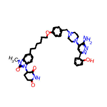 Cn1c(=O)n(C2CCC(=O)NC2=O)c2ccc(CCCCCCOc3ccc(CN4CCN(c5cc(-c6ccccc6O)nnc5N)CC4)cc3)cc21